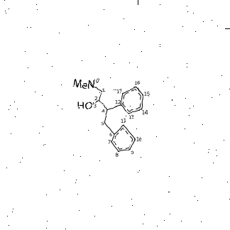 CNCC(O)C(Cc1ccccc1)c1ccccc1